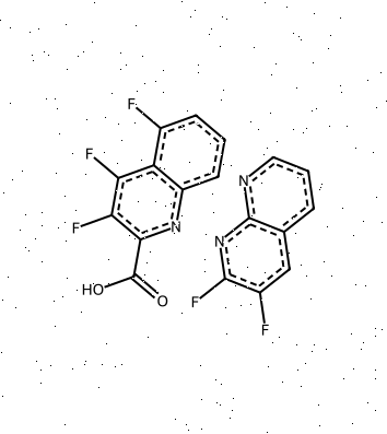 Fc1cc2cccnc2nc1F.O=C(O)c1nc2cccc(F)c2c(F)c1F